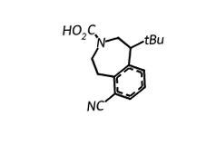 CC(C)(C)C1CN(C(=O)O)CCc2c(C#N)cccc21